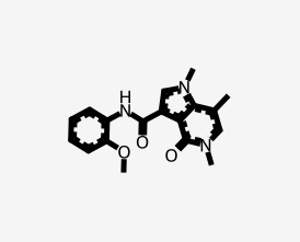 COc1ccccc1NC(=O)c1cn(C)c2c(C)cn(C)c(=O)c12